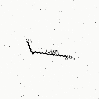 CCCCCCCCC1CC1CCCCCCCCOCC(COCCCCCCC(=O)OC)N(C)C